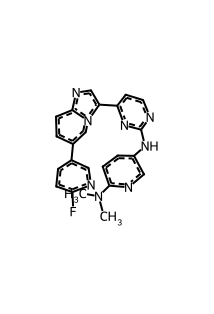 CN(C)c1ccc(Nc2nccc(-c3cnc4ccc(-c5ccc(F)nc5)cn34)n2)cn1